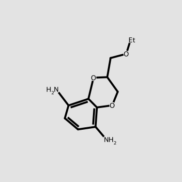 CCOCC1COc2c(N)ccc(N)c2O1